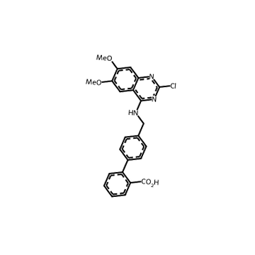 COc1cc2nc(Cl)nc(NCc3ccc(-c4ccccc4C(=O)O)cc3)c2cc1OC